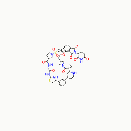 CS(=O)(=O)N1CCC(C(=O)NCC(=O)NC2NC(c3cccc(C4CCNC(C5(C(=O)N6CC(CCOc7cccc8c7C(=O)N(C7CCC(=O)NC7=O)C8=O)C6)CC5)C4)c3)CS2)C1